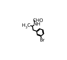 CC(Cc1cccc(Br)c1)NC=O